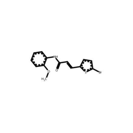 COc1ccccc1NC(=O)/C=C/c1ccc(Br)s1